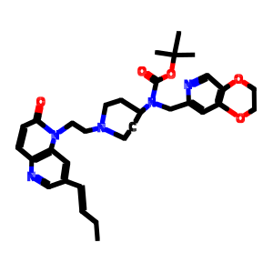 CC/C=C/c1cnc2ccc(=O)n(CCN3CCC(N(Cc4cc5c(cn4)OCCO5)C(=O)OC(C)(C)C)CC3)c2c1